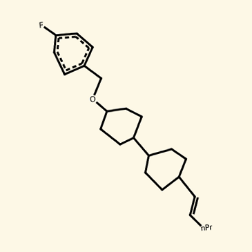 CCC/C=C/C1CCC(C2CCC(OCc3ccc(F)cc3)CC2)CC1